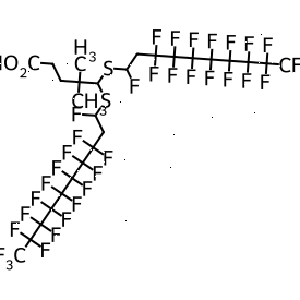 CC(C)(CCC(=O)O)C(SC(F)CC(F)(F)C(F)(F)C(F)(F)C(F)(F)C(F)(F)C(F)(F)C(F)(F)C(F)(F)F)SC(F)CC(F)(F)C(F)(F)C(F)(F)C(F)(F)C(F)(F)C(F)(F)C(F)(F)C(F)(F)F